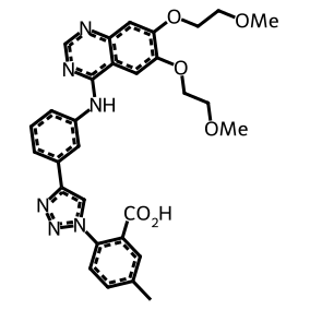 COCCOc1cc2ncnc(Nc3cccc(-c4cn(-c5ccc(C)cc5C(=O)O)nn4)c3)c2cc1OCCOC